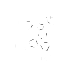 C=CC(=O)n1nc(C(=O)O)c2c1CC(c1ccc(OC)cc1)(c1ccc(OC)cc1)C=C2